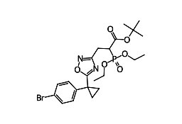 CCOP(=O)(OCC)C(Cc1noc(C2(c3ccc(Br)cc3)CC2)n1)C(=O)OC(C)(C)C